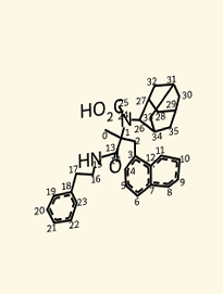 CC(Cc1cccc2ccccc12)(C(=O)NCCc1ccccc1)N(C(=O)O)C1C2CC3CC(C2)CC1C3